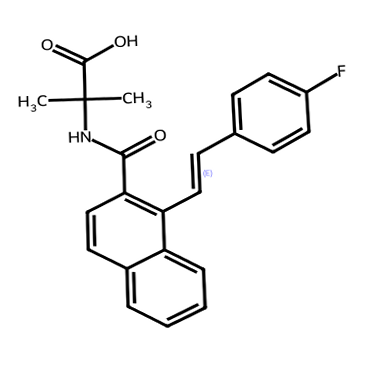 CC(C)(NC(=O)c1ccc2ccccc2c1/C=C/c1ccc(F)cc1)C(=O)O